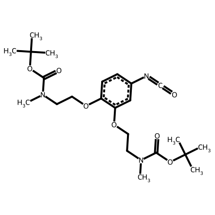 CN(CCOc1ccc(N=C=O)cc1OCCN(C)C(=O)OC(C)(C)C)C(=O)OC(C)(C)C